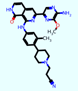 COc1nc(-c2cc3cc[nH]c(=O)c3c(Nc3ccc(C4CCN(CCC#N)CC4)c(C)c3)n2)cnc1N